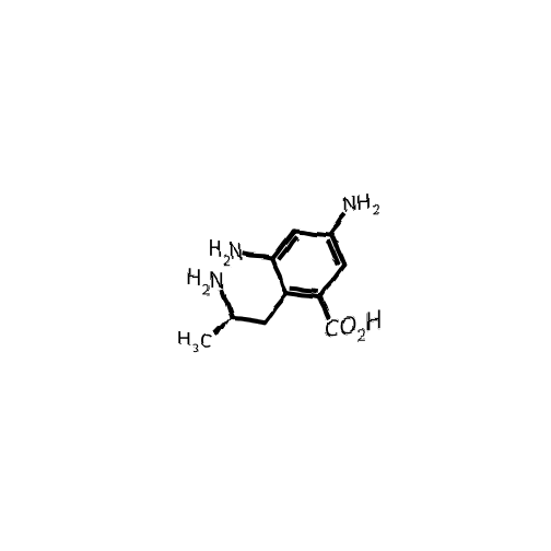 C[C@@H](N)Cc1c(N)cc(N)cc1C(=O)O